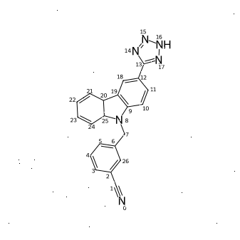 N#Cc1cccc(CN2c3ccc(-c4nn[nH]n4)cc3C3C=CC=CC32)c1